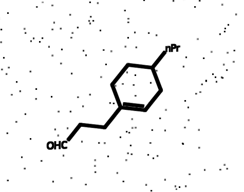 CCCC1CC=C(CCC=O)CC1